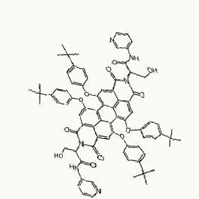 CC(C)(C)c1ccc(Oc2cc3c4c(cc(Oc5ccc(C(C)(C)C)cc5)c5c6c(Oc7ccc(C(C)(C)C)cc7)cc7c8c(cc(Oc9ccc(C(C)(C)C)cc9)c(c2c45)c86)C(=O)N(C(CO)C(=O)Nc2cccnc2)C7=O)C(=O)N(C(CO)C(=O)Nc2cccnc2)C3=O)cc1